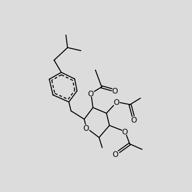 CC(=O)OC1C(C)OC(Cc2ccc(CC(C)C)cc2)C(OC(C)=O)C1OC(C)=O